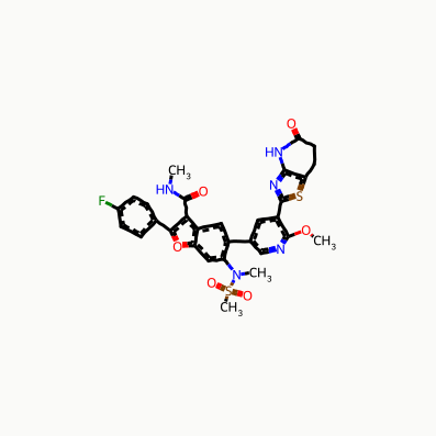 CNC(=O)c1c(-c2ccc(F)cc2)oc2cc(N(C)S(C)(=O)=O)c(-c3cnc(OC)c(-c4nc5c(s4)CCC(=O)N5)c3)cc12